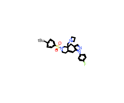 CC(C)(C)c1ccc(S(=O)(=O)N2CCC3=Cc4c(cnn4-c4ccc(F)cc4)CC3(CN3CCC3)C2)cc1